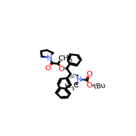 CC(O[C@H](c1ccccc1)[C@H](CN(C)C(=O)OC(C)(C)C)c1ccc2ccccc2c1)C(=O)N1CCCC1